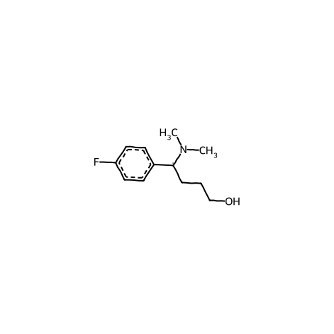 CN(C)[C](CCCO)c1ccc(F)cc1